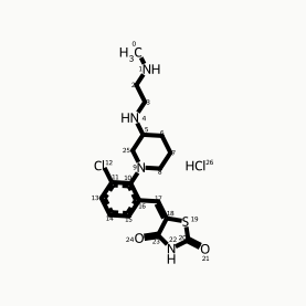 CNCCNC1CCCN(c2c(Cl)cccc2/C=C2/SC(=O)NC2=O)C1.Cl